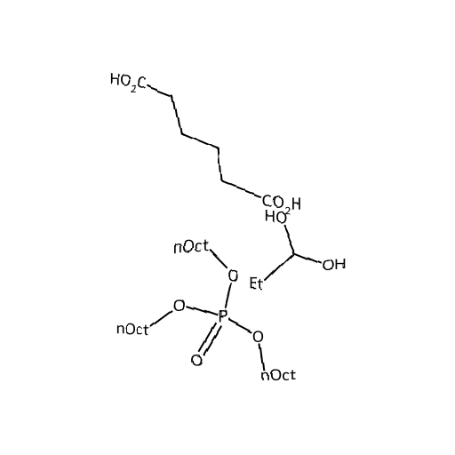 CCC(O)O.CCCCCCCCOP(=O)(OCCCCCCCC)OCCCCCCCC.O=C(O)CCCCC(=O)O